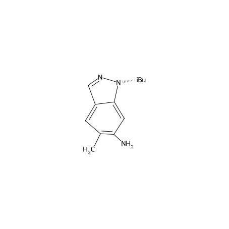 CC[C@@H](C)n1ncc2cc(C)c(N)cc21